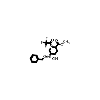 COC(=O)C1CCC(NOCc2ccccc2)CN1C(=O)C(F)(F)F.Cl